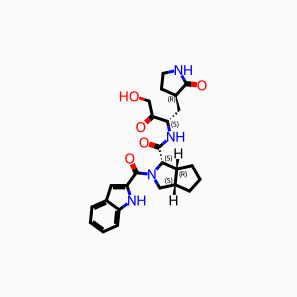 O=C1NCC[C@@H]1C[C@H](NC(=O)[C@@H]1[C@@H]2CCC[C@@H]2CN1C(=O)c1cc2ccccc2[nH]1)C(=O)CO